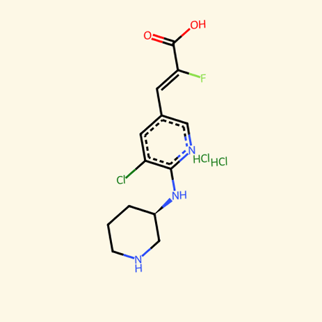 Cl.Cl.O=C(O)C(F)=Cc1cnc(N[C@@H]2CCCNC2)c(Cl)c1